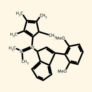 COc1cccc(OC)c1C1=C[CH]([Zr]([C]2=C(C)C(C)=C(C)C2C)=[Si](C)C)c2ccccc21